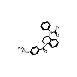 CCCNc1ccc(C(=O)N2c3ccccc3[C@@H](N(C(=O)CC)c3ccccc3)C[C@H]2C)cc1